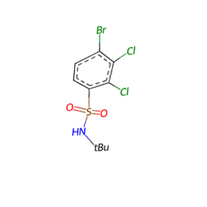 CC(C)(C)NS(=O)(=O)c1ccc(Br)c(Cl)c1Cl